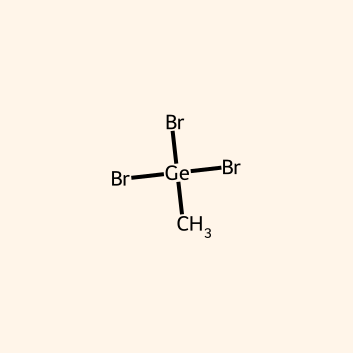 [CH3][Ge]([Br])([Br])[Br]